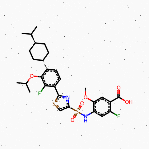 COc1cc(C(=O)O)c(F)cc1NS(=O)(=O)c1csc(-c2ccc([C@H]3CC[C@H](C(C)C)CC3)c(OC(C)C)c2F)n1